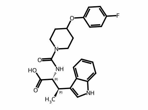 C[C@H](c1c[nH]c2ccccc12)[C@@H](NC(=O)N1CCC(Oc2ccc(F)cc2)CC1)C(=O)O